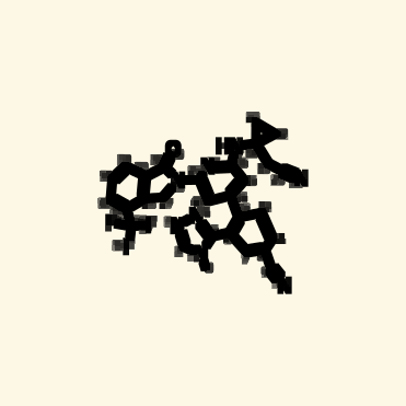 Cn1cnnc1-c1cc(C#N)ccc1-c1cc(NC2(CC#N)CC2)nc(N2Cc3c(cccc3C(F)(F)F)C2=O)c1